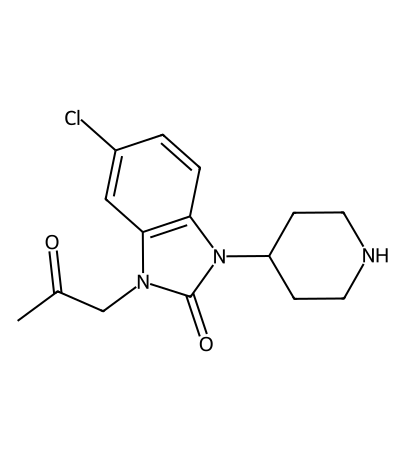 CC(=O)Cn1c(=O)n(C2CCNCC2)c2ccc(Cl)cc21